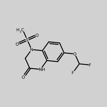 CS(=O)(=O)N1CC(=O)Nc2cc(OC(F)F)ccc21